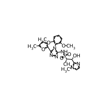 COc1cccc(OC)c1-n1c(NS(=O)(=O)[C@H](C)[C@@H](O)c2nccn2C)nnc1-c1ccc(C)o1